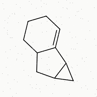 C1=C2C(CCC1)CC1CC21